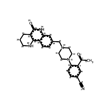 CC(=O)c1cc(C#N)ccc1N1CCN(Cc2ccc3c4c(c(=O)[nH]c3c2)CCCN4)CC1